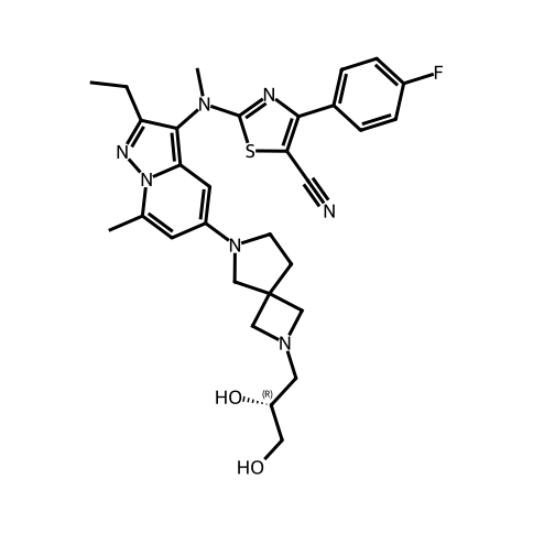 CCc1nn2c(C)cc(N3CCC4(CN(C[C@@H](O)CO)C4)C3)cc2c1N(C)c1nc(-c2ccc(F)cc2)c(C#N)s1